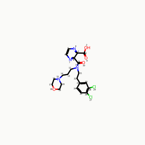 O=C(O)c1nccnc1C(=O)N(CCCN1CCOCC1)CCc1ccc(Cl)c(Cl)c1